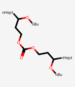 CCCCCCCC(CCOC(=O)OCCC(CCCCCCC)OCCCC)OCCCC